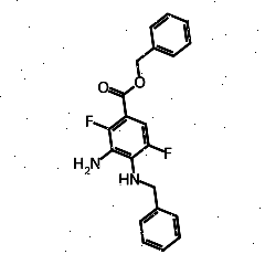 Nc1c(F)c(C(=O)OCc2ccccc2)cc(F)c1NCc1ccccc1